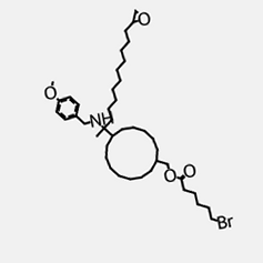 COc1ccc(CNC(C)(CCCCCCCCCCC2CO2)C2CCCCCCCC(COC(=O)CCCCCBr)CCCCC2)cc1